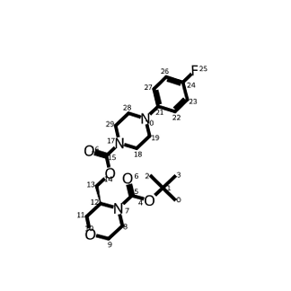 CC(C)(C)OC(=O)N1CCOC[C@H]1COC(=O)N1CCN(c2ccc(F)cc2)CC1